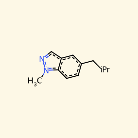 CC(C)Cc1ccc2c(cnn2C)c1